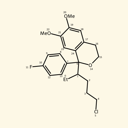 CCC(CCCCl)C1(c2ccc(F)cc2)OCCc2cc(OC)c(OC)cc21